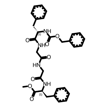 COC(=O)[C@H](Cc1ccccc1)NC(=O)CNC(=O)CNC(=O)[C@H](Cc1ccccc1)NC(=O)OCc1ccccc1